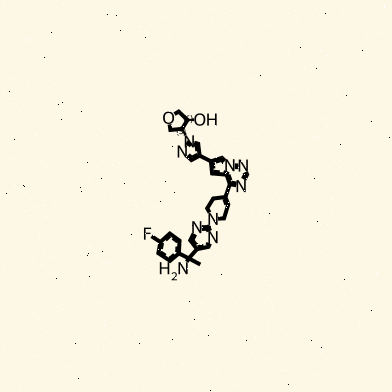 CC(N)(c1ccc(F)cc1)c1cnc(N2CC=C(c3ncnn4cc(-c5cnn([C@H]6COC[C@H]6O)c5)cc34)CC2)nc1